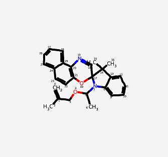 C=C(C)COC(C)N1c2ccccc2C(C)(C)C12C=Nc1c(ccc3ccccc13)O2